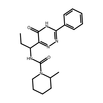 CCC(NC(=O)N1CCCCC1C)c1nnc(-c2ccccc2)[nH]c1=O